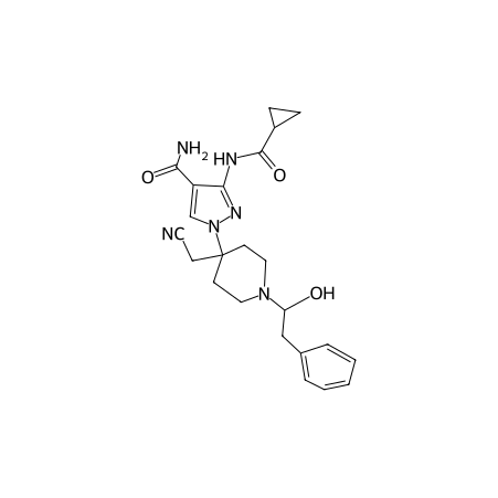 N#CCC1(n2cc(C(N)=O)c(NC(=O)C3CC3)n2)CCN(C(O)Cc2ccccc2)CC1